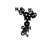 CCNC(=O)Nc1ccc(-c2nc3c(c(N4CCOC[C@@H]4C)n2)CCN(C(=O)OC)C3)cc1